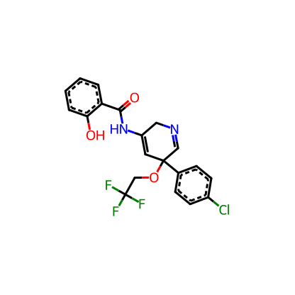 O=C(NC1=CC(OCC(F)(F)F)(c2ccc(Cl)cc2)C=NC1)c1ccccc1O